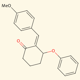 COc1ccc(C=C2C(=O)CCCC2Oc2ccccc2)cc1